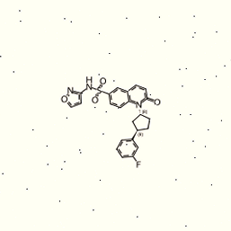 O=c1ccc2cc(S(=O)(=O)Nc3ccon3)ccc2n1[C@@H]1CC[C@@H](c2cccc(F)c2)C1